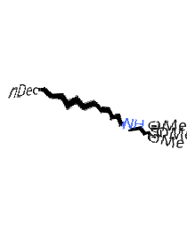 CCCCCCCCCCCCCCCCCCCCCCNCCC[Si](OC)(OC)OC